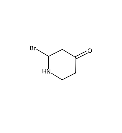 O=C1CCNC(Br)C1